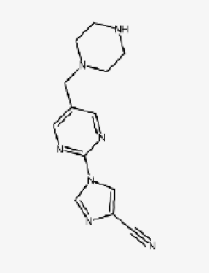 N#Cc1cn(-c2ncc(CN3CCNCC3)cn2)cn1